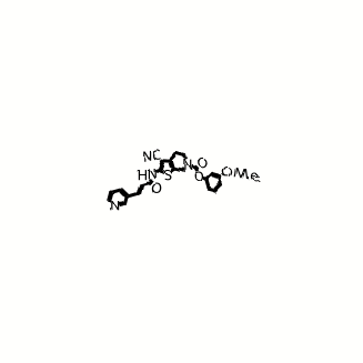 COc1cccc(OC(=O)N2CCc3c(sc(NC(=O)/C=C/c4cccnc4)c3C#N)C2)c1